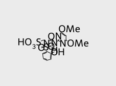 COc1cc(OC)nc(NC(=O)N(CS(=O)(=O)O)S(=O)(=O)c2ccccc2O)n1